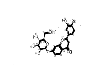 O=C1CC(c2ccc(O)c(O)c2)Oc2cc(O[C@@H]3O[C@H](CO)[C@@H](O)[C@H](O)[C@H]3O)ccc21